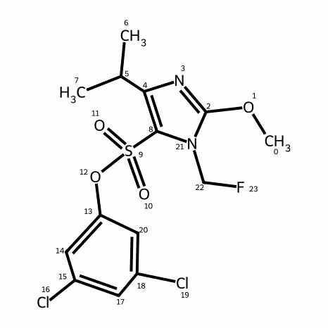 COc1nc(C(C)C)c(S(=O)(=O)Oc2cc(Cl)cc(Cl)c2)n1CF